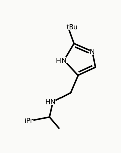 CC(C)C(C)NCc1cnc(C(C)(C)C)[nH]1